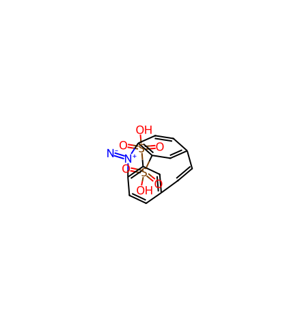 [N-]=[N+]1c2ccc(cc2S(=O)(=O)O)/C=C/c2ccc1c(S(=O)(=O)O)c2